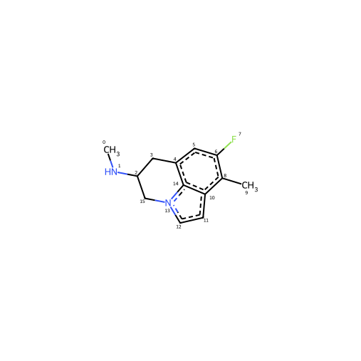 CNC1Cc2cc(F)c(C)c3ccn(c23)C1